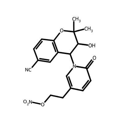 CC1(C)Oc2ccc(C#N)cc2C(n2cc(CCO[N+](=O)[O-])ccc2=O)C1O